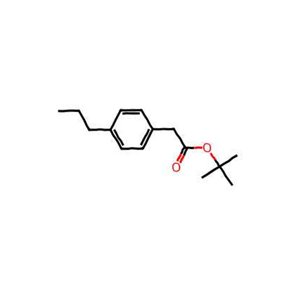 CCCc1ccc(CC(=O)OC(C)(C)C)cc1